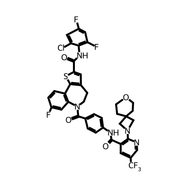 O=C(Nc1c(F)cc(F)cc1Cl)c1cc2c(s1)-c1ccc(F)cc1N(C(=O)c1ccc(NC(=O)c3cc(C(F)(F)F)cnc3N3CC4(CCOCC4)C3)cc1)CC2